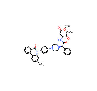 COC(=O)C(CC(=O)OC(C)(C)C)NC(=O)C(c1ccccc1)N1CCN(c2ccc(NC(=O)c3ccccc3-c3ccc(C(F)(F)F)cc3)cc2)CC1